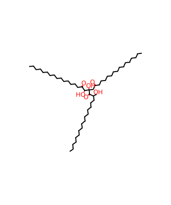 CCCCCCCCCCCCCCCCC(C)C(=O)C(O)(C(O)C(=O)CCCCCCCCCCCCCCC)C(O)C(=O)CCCCCCCCCCCCCCC